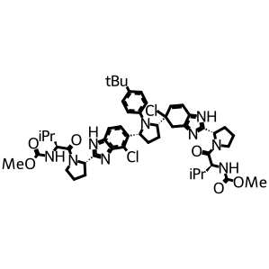 COC(=O)N[C@H](C(=O)N1CCC[C@H]1c1nc2c([nH]1)C=CC(Cl)([C@@H]1CC[C@H](c3ccc4[nH]c([C@@H]5CCCN5C(=O)[C@@H](NC(=O)OC)C(C)C)nc4c3Cl)N1c1ccc(C(C)(C)C)cc1)C2)C(C)C